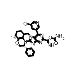 C[C@@H]1CCC2Cn3c(nc4nc(C(=N)OC(N)=O)nc(-c5cncc(Cl)c5)c43)N3C2=C1OC[C@H]3c1ccccc1